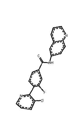 O=C(Nc1ccc2ncccc2c1)c1ccc(-c2ncccc2Cl)c(F)c1